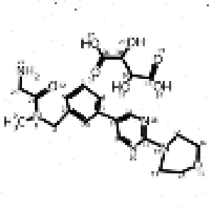 CN(Cc1cccc(-c2cnc(N3CCOCC3)nc2)c1)C(=O)CN.O=C(O)C(O)C(O)C(=O)O